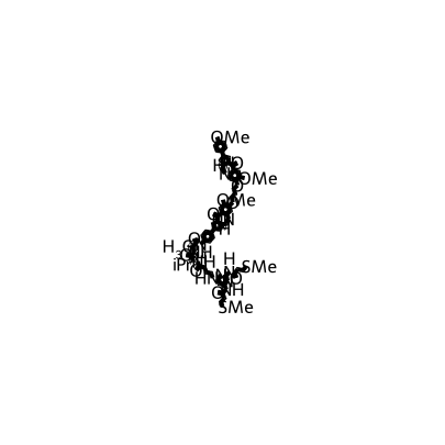 COc1ccc(C2=CN3C(=O)c4cc(OC)c(OCCCOc5cc6c(cc5OC)C(=O)N5C=C(c7ccc(NC(=O)[C@H](C)NC(=O)[C@@H](NC(=O)CCCNc8cc(NC(=O)CCSC)nc(NC(=O)CCSC)n8)C(C)C)cc7)C[C@H]5C=N6)cc4N=C[C@@H]3C2)cc1